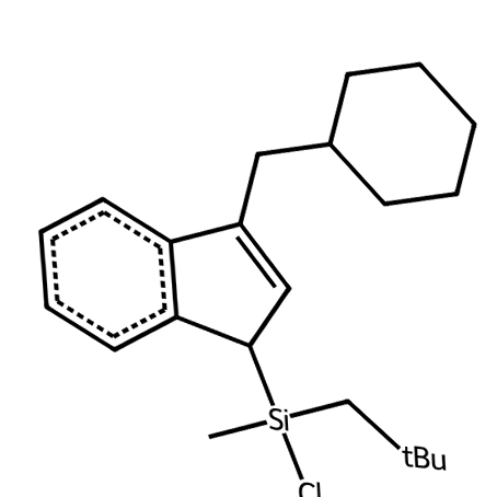 CC(C)(C)C[Si](C)(Cl)C1C=C(CC2CCCCC2)c2ccccc21